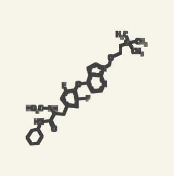 C[Si](C)(C)CCOCn1ccc2c(Oc3c(F)cc(CC(NC(=O)O)C(=O)NC4CCCCC4)cc3F)ccnc21